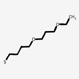 CCOCCCOCCCC[S]